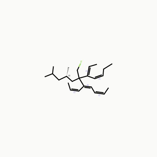 C\C=C/C=C(\C=C/C)C(CF)(C[C@@H](C)CC(C)C)C(/C=C\CC)=C/C